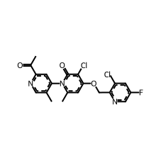 CC(=O)c1cc(-n2c(C)cc(OCc3ncc(F)cc3Cl)c(Cl)c2=O)c(C)cn1